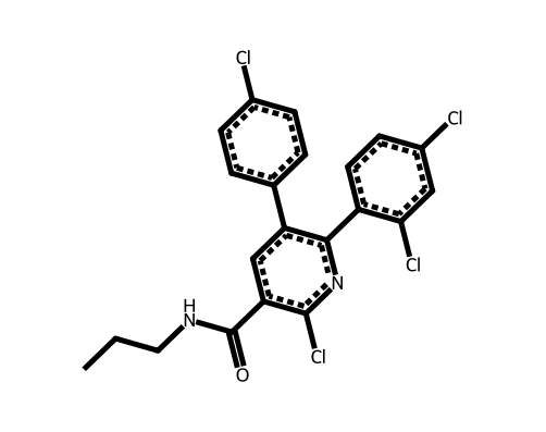 CCCNC(=O)c1cc(-c2ccc(Cl)cc2)c(-c2ccc(Cl)cc2Cl)nc1Cl